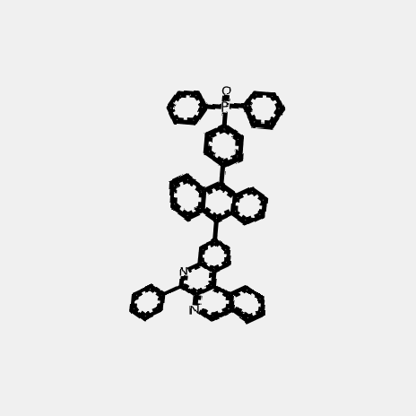 O=P(c1ccccc1)(c1ccccc1)c1ccc(-c2c3ccccc3c(-c3ccc4c(c3)nc(-c3ccccc3)c3ncc5ccccc5c34)c3ccccc23)cc1